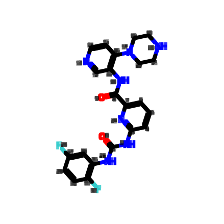 O=C(Nc1cccc(C(=O)Nc2cnccc2N2CCNCC2)n1)Nc1cc(F)ccc1F